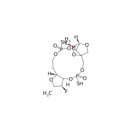 C[C@@H]1O[C@@H]2CCOP(=O)(S)O[C@H]3[C@H]4OCC3(COP(=O)(S)O[C@H]2[C@H]1F)O[C@H]4C